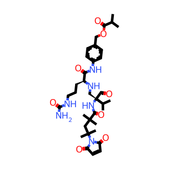 CC(C)C(=O)OCc1ccc(NC(=O)[C@H](CCCNC(N)=O)NC[C@](C=O)(NC(=O)C(C)(C)CC(C)(C)N2C(=O)C=CC2=O)C(C)C)cc1